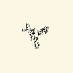 CSc1sc(C(=N)N)cc1S(=O)(=O)c1ccc2c(c1)ncn2Cc1ccccc1.O=C(O)C(F)(F)F.O=C(O)C(F)(F)F